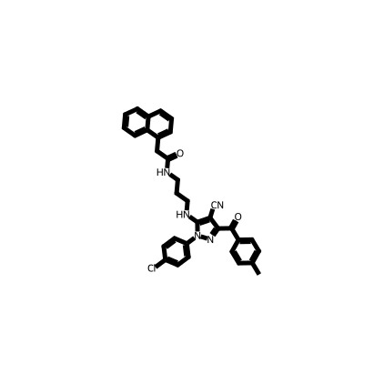 Cc1ccc(C(=O)c2nn(-c3ccc(Cl)cc3)c(NCCCNC(=O)Cc3cccc4ccccc34)c2C#N)cc1